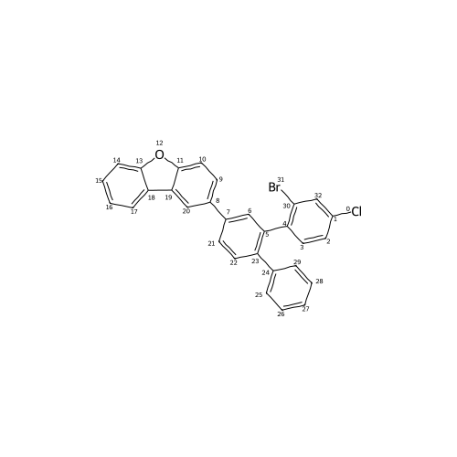 Clc1ccc(-c2cc(-c3ccc4oc5ccccc5c4c3)ccc2-c2ccccc2)c(Br)c1